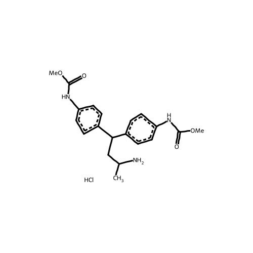 COC(=O)Nc1ccc(C(CC(C)N)c2ccc(NC(=O)OC)cc2)cc1.Cl